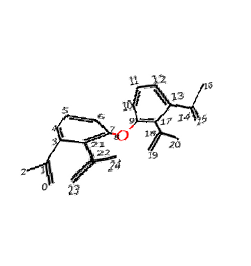 C=C(C)c1cccc(Oc2cccc(C(=C)C)c2C(=C)C)c1C(=C)C